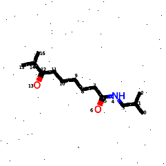 CC(C)CNC(=O)CCCCCC(=O)C(C)C